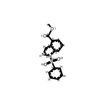 COC(=O)c1cccc2c1cnn2S(=O)(=O)c1ccccc1